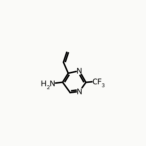 C=Cc1nc(C(F)(F)F)ncc1N